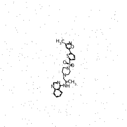 Cc1cc(-c2ccc(S(=O)(=O)N3CCN(C[C@H](C)Nc4ncnc5[c]cccc45)CC3)s2)on1